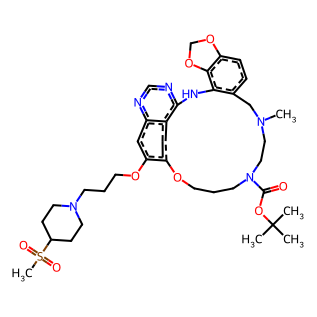 CN1CCN(C(=O)OC(C)(C)C)CCCOc2cc3c(ncnc3cc2OCCCN2CCC(S(C)(=O)=O)CC2)Nc2c(ccc3c2OCO3)C1